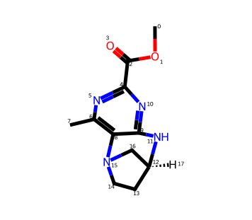 COC(=O)c1nc(C)c2c(n1)N[C@H]1CCN2C1